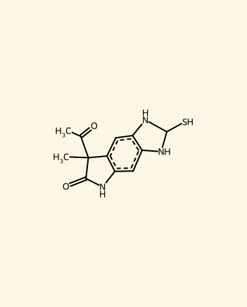 CC(=O)C1(C)C(=O)Nc2cc3c(cc21)NC(S)N3